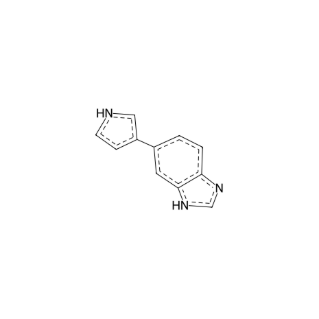 c1cc(-c2ccc3nc[nH]c3c2)c[nH]1